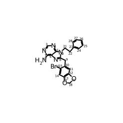 Nc1ncnc2c1nc(Cc1cc3c(cc1Br)OCO3)n2CCc1ccccc1